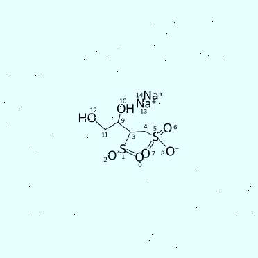 O=S([O-])C(CS(=O)(=O)[O-])C(O)CO.[Na+].[Na+]